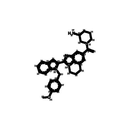 C=C(c1cc2c3c(c1)nc(-c1cc4ccccc4n1Cc1ccc(OC)cc1)n3CCC2)N1CCCC(N)C1